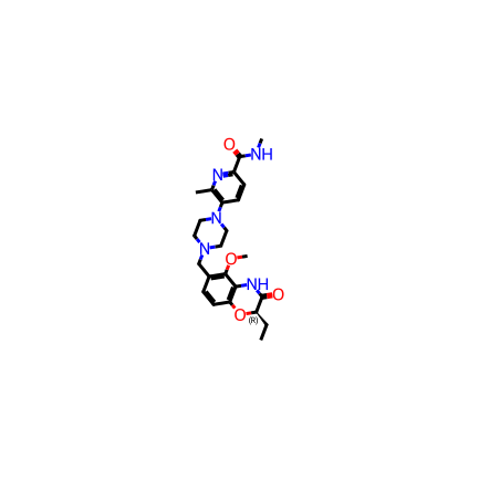 CC[C@H]1Oc2ccc(CN3CCN(c4ccc(C(=O)NC)nc4C)CC3)c(OC)c2NC1=O